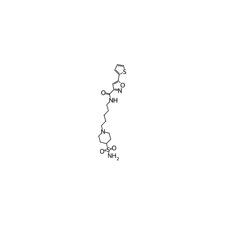 NS(=O)(=O)C1CCN(CCCCCNC(=O)c2cc(-c3cccs3)on2)CC1